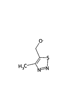 Cc1nnsc1C[O]